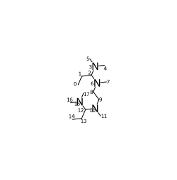 CCC(N(C)C)N(C)CCN(C)C(CC)N(C)C